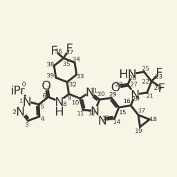 CC(C)n1nccc1C(=O)NC(c1cn2ncc(C(C3CC3)N3CC(F)(F)CNC3=O)cc2n1)C1CCC(F)(F)CC1